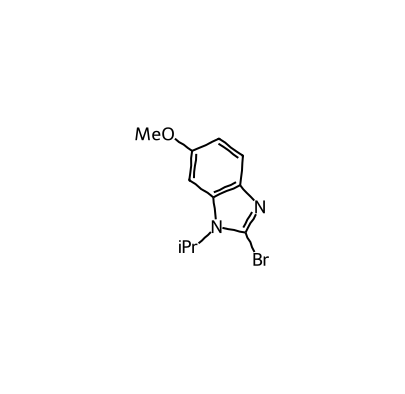 COc1ccc2nc(Br)n(C(C)C)c2c1